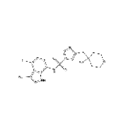 N#Cc1c[nH]c2c(NS(=O)(=O)c3cnn(CC4(O)CCOCC4)c3)ccc(Cl)c12